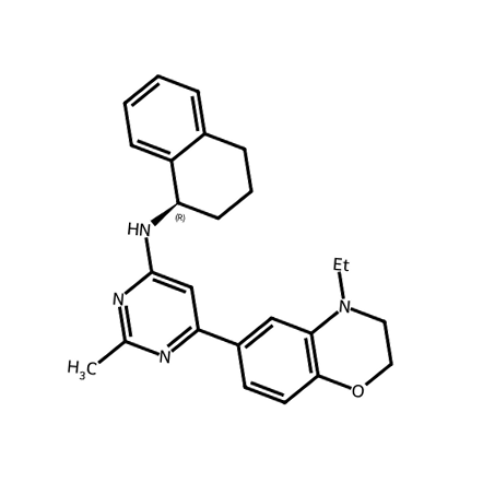 CCN1CCOc2ccc(-c3cc(N[C@@H]4CCCc5ccccc54)nc(C)n3)cc21